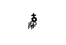 CC(C)(C)c1ccc(OC(F)(F)C(F)(F)F)cc1